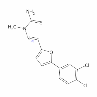 CN(/N=C/c1ccc(-c2ccc(Cl)c(Cl)c2)o1)C(N)=S